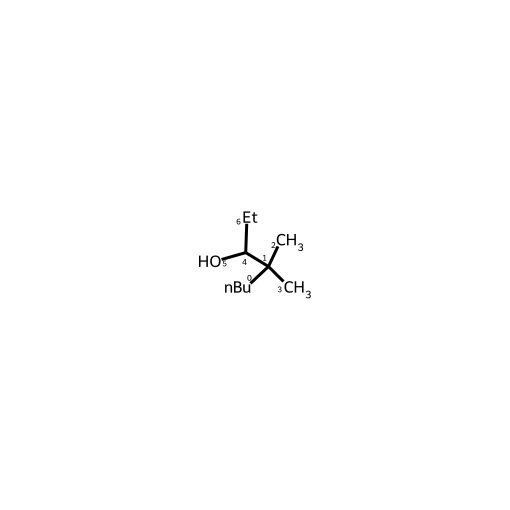 CCCCC(C)(C)C(O)CC